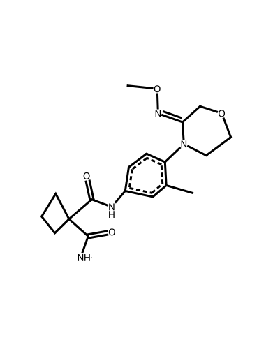 CON=C1COCCN1c1ccc(NC(=O)C2(C([NH])=O)CCC2)cc1C